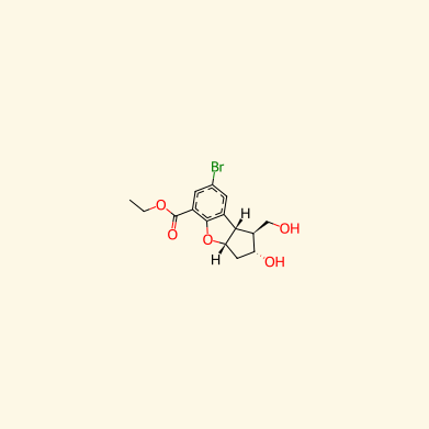 CCOC(=O)c1cc(Br)cc2c1O[C@H]1C[C@@H](O)[C@H](CO)[C@@H]21